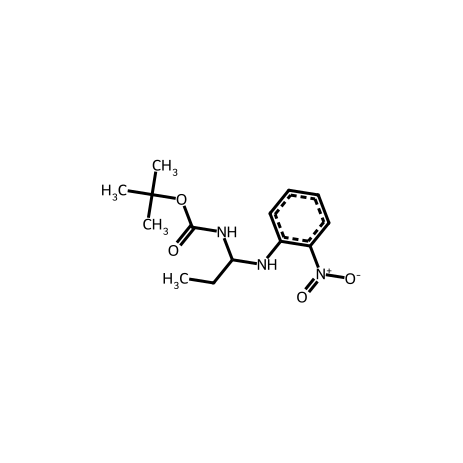 CCC(NC(=O)OC(C)(C)C)Nc1ccccc1[N+](=O)[O-]